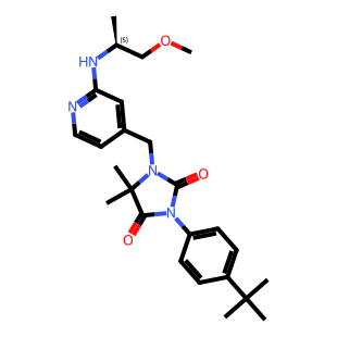 COC[C@H](C)Nc1cc(CN2C(=O)N(c3ccc(C(C)(C)C)cc3)C(=O)C2(C)C)ccn1